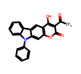 O=C(c1c(O)c2cc3c4ccccc4n(-c4ccccc4)c3cc2oc1=O)C(F)(F)F